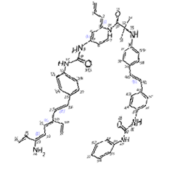 C=C/C=C(\C=C(/C=C)NC(=O)Nc1ccc(/C=C/C(C=C)=C/C=C(/N)C=C)cc1)NC(=O)C(C)(C)Nc1ccc(/C=C/c2ccc(NC(=O)Nc3ccccc3)cc2)cc1